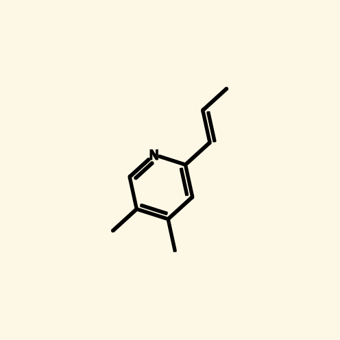 C/C=C/c1cc(C)c(C)cn1